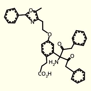 Cc1oc(-c2ccccc2)nc1CCOc1ccc(CCC(=O)O)c(C(N)(C(=O)Cc2ccccc2)C(=O)Cc2ccccc2)c1